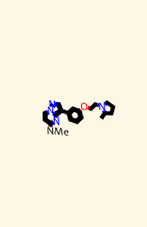 CNc1ccn2ncc(-c3cccc(OCCN4CCCC4C)c3)c2n1